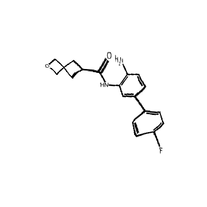 Nc1ccc(-c2ccc(F)cc2)cc1NC(=O)C1CC2(COC2)C1